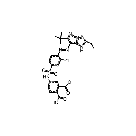 CCc1nn2nc(C(C)(C)C)c(/N=N/c3ccc(S(=O)(=O)Nc4ccc(C(=O)O)c(C(=O)O)c4)cc3Cl)c2[nH]1